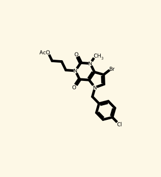 CC(=O)OCCCn1c(=O)c2c(c(Br)cn2Cc2ccc(Cl)cc2)n(C)c1=O